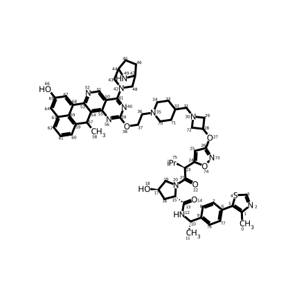 Cc1ncsc1-c1ccc([C@H](C)NC(=O)[C@@H]2C[C@@H](O)CN2C(=O)[C@H](c2cc(OC3CN(CC4CCN(CCOc5nc(N6CC7CCC(C6)N7)c6cnc7c(c6n5)C(C)c5cccc6cc(O)cc-7c56)CC4)C3)no2)C(C)C)cc1